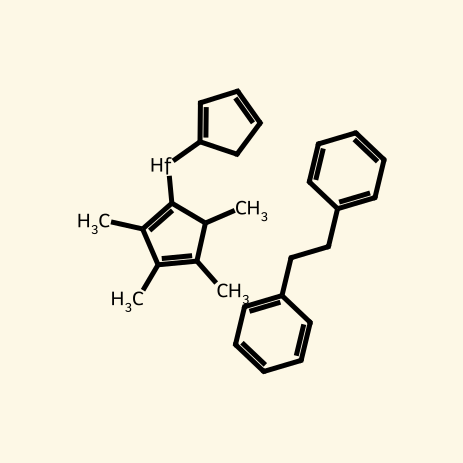 CC1=C(C)C(C)[C]([Hf][C]2=CC=CC2)=C1C.c1ccc(CCc2ccccc2)cc1